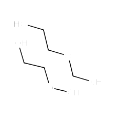 CCOCCO.COCCO